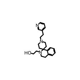 OCCN1CCc2ccccc2C12CCN(CCc1cccnc1)CC2